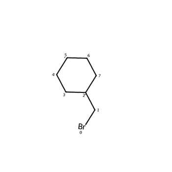 BrC[C]1CC[CH]CC1